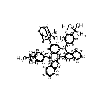 C[C@@H]1C2CC3CC(C2)CC1(c1cc2c4c(c1)N(c1ccc(C(C)(C)C)cc1)c1c(oc5ccccc15)B4c1oc4ccccc4c1N2c1ccc(C(C)(C)C)cc1)C3